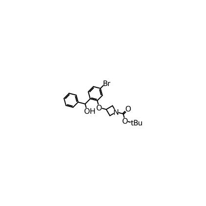 CC(C)(C)OC(=O)N1CC(Oc2cc(Br)ccc2C(O)c2ccccc2)C1